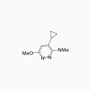 CNc1nnc(OC)cc1C1CC1